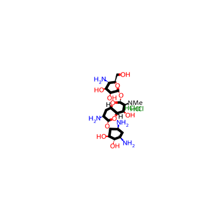 CN[C@@H]1[C@@H](O[C@H]2O[C@H](CO)[C@@H](N)[C@H](O)[C@H]2O)O[C@H]2C[C@@H](N)[C@@H](O[C@H]3[C@H](O)[C@@H](O)[C@H](N)C[C@@H]3N)O[C@@H]2[C@@H]1O.Cl.Cl.Cl